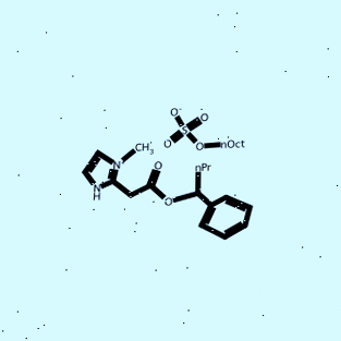 CCCC(OC(=O)Cc1[nH]cc[n+]1C)c1ccccc1.CCCCCCCCOS(=O)(=O)[O-]